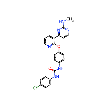 CNc1nccc(-c2cccnc2Oc2ccc(NC(=O)Nc3ccc(Cl)cc3)cc2)n1